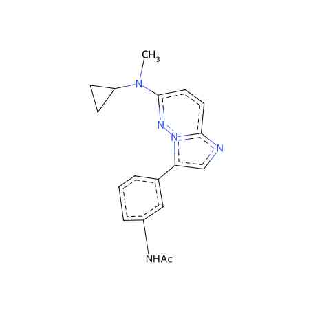 CC(=O)Nc1cccc(-c2cnc3ccc(N(C)C4CC4)nn23)c1